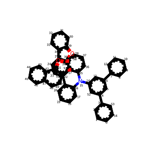 c1ccc(-c2cc(-c3ccccc3)cc(N(c3ccccc3-c3ccc4c(c3)oc3ccccc34)c3cccc4oc5c6ccccc6ccc5c34)c2)cc1